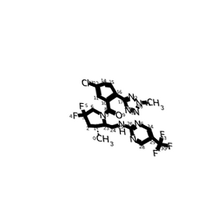 C[C@@H]1CC(F)(F)CN(C(=O)c2cc(Cl)ccc2-c2nnn(C)n2)C1CNc1ncc(C(F)(F)F)cn1